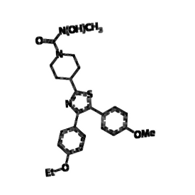 CCOc1ccc(-c2nc(C3CCN(C(=O)N(C)O)CC3)sc2-c2ccc(OC)cc2)cc1